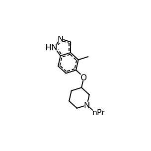 CCCN1CCCC(Oc2ccc3[nH]ncc3c2C)C1